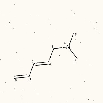 C=C/C=C/CN(C)C